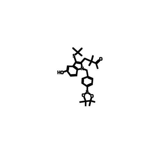 CC(=O)C(C)(C)Cc1c(SC(C)(C)C)c2cc(O)ccc2n1Cc1ccc(B2OC(C)(C)C(C)(C)O2)cc1